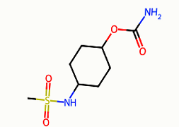 CS(=O)(=O)NC1CCC(OC(N)=O)CC1